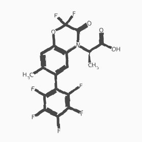 Cc1cc2c(cc1-c1c(F)c(F)c(F)c(F)c1F)N([C@H](C)C(=O)O)C(=O)C(F)(F)O2